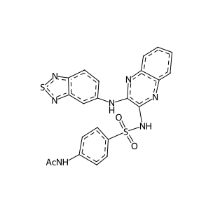 CC(=O)Nc1ccc(S(=O)(=O)Nc2nc3ccccc3nc2Nc2ccc3nsnc3c2)cc1